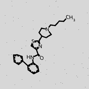 CCCCCN1CCC(c2nc(C(=O)Nc3ccccc3-c3ccccc3)cs2)CC1